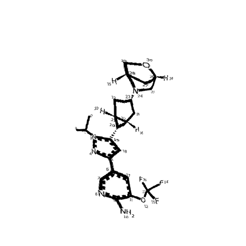 CC(C)n1nc(-c2cnc(N)c(OC(F)(F)F)c2)cc1[C@@H]1[C@@H]2C[C@H](N3C[C@@H]4C[C@H]3CO4)C[C@@H]21